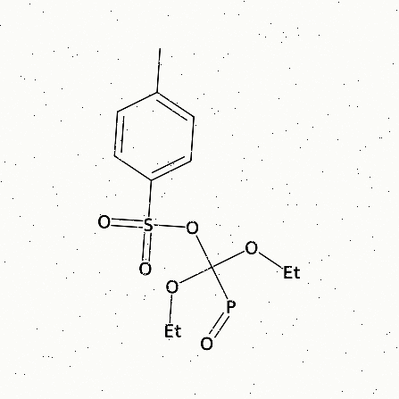 CCOC(OCC)(OS(=O)(=O)c1ccc(C)cc1)P=O